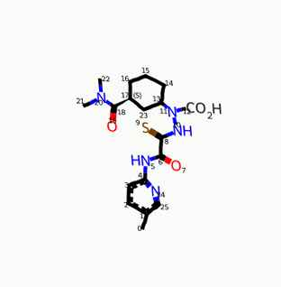 Cc1ccc(NC(=O)C(=S)NN(C(=O)O)C2CCC[C@H](C(=O)N(C)C)C2)nc1